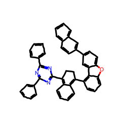 c1ccc(-c2nc(C3=c4ccccc4=C(c4cccc5oc6ccc(-c7ccc8ccccc8c7)cc6c45)CC3)nc(-c3ccccc3)n2)cc1